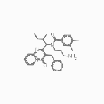 CCC(C)C(c1nc2ccccn2c(=O)c1Cc1ccccc1)N(CCCN)C(=O)c1ccc(C)c(C)c1